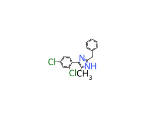 Cc1[nH]c(Cc2ccccc2)nc1-c1ccc(Cl)cc1Cl